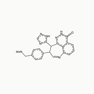 CNCc1ccc(C2C=Nc3cccc4c(=O)[nH]nc(c34)C2c2ncn[nH]2)cc1